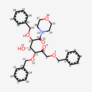 O=C(COCc1ccccc1)[C@@H](OCc1ccccc1)[C@H](O)[C@@H](OCc1ccccc1)C(=O)N1CCOCC1